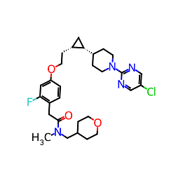 CN(CC1CCOCC1)C(=O)Cc1ccc(OCC[C@@H]2C[C@@H]2C2CCN(c3ncc(Cl)cn3)CC2)cc1F